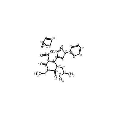 CCn1c(=O)c([N+](=O)[O-])c(-c2cnn(-c3ccccc3)c2)n(CC(C)C)c1=O.c1cc2cc-2c1